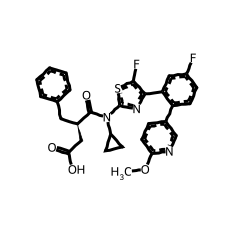 COc1ccc(-c2ccc(F)cc2-c2nc(N(C(=O)[C@@H](CC(=O)O)Cc3ccccc3)C3CC3)sc2F)cn1